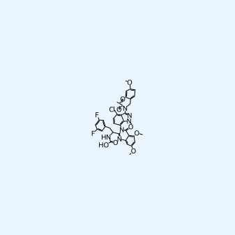 COc1ccc(CN(c2nn(C)c3c(-n4c(C(Cc5cc(F)cc(F)c5)NC(=O)O)nc5cc(OC)cc(OC)c5c4=O)ccc(Cl)c23)S(C)(=O)=O)cc1